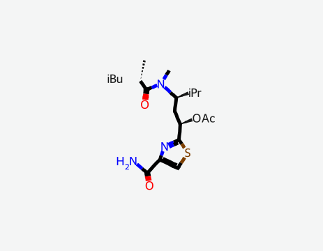 CC[C@H](C)[C@H](C)C(=O)N(C)[C@H](C[C@@H](OC(C)=O)c1nc(C(N)=O)cs1)C(C)C